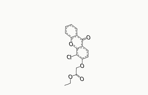 CCOC(=O)COc1ccc2c(=O)c3ccccc3oc2c1Cl